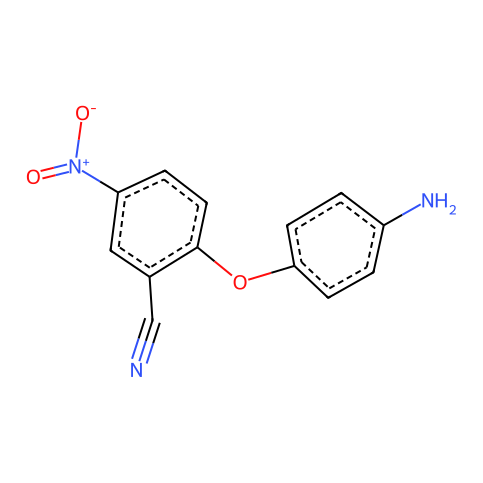 N#Cc1cc([N+](=O)[O-])ccc1Oc1ccc(N)cc1